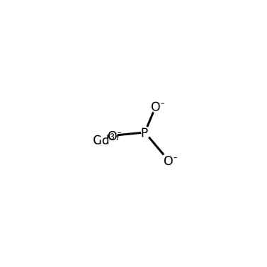 [Gd+3].[O-]P([O-])[O-]